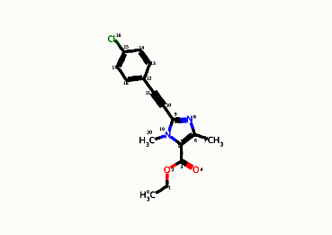 CCOC(=O)c1c(C)nc(C#Cc2ccc(Cl)cc2)n1C